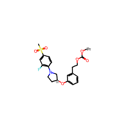 CC(C)OC(=O)OCCc1cccc(O[C@H]2CCN(c3ccc(S(C)(=O)=O)cc3F)C2)c1